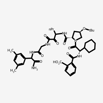 CCCC(NC(=O)[C@@H]1C[C@@H](OC(C)(C)C)CN1C(=O)[C@@H](NC(=O)c1ccccc1C(=O)O)C1CCCCC1)C(=O)C(=O)NCC(=O)NC(C(N)=O)c1cc(C)cc(C)c1